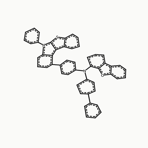 c1ccc(-c2ccc(N(c3ccc(-c4cccc5c4c4c6ccccc6sc4n5-c4ccccc4)cc3)c3cccc4c3oc3ccccc34)cc2)cc1